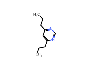 CCCc1cc(CCC)ncn1